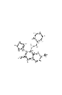 O=c1[nH]c2ccc(Br)cc2c(OCc2ccccn2)c1-c1cccs1